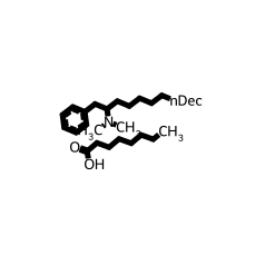 CCCCCCCC(=O)O.CCCCCCCCCCCCCCCC(Cc1ccccc1)N(C)C